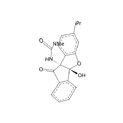 CNC(=O)N[C@@]12C(=O)c3ccccc3[C@@]1(O)Oc1cc(C(C)C)ccc12